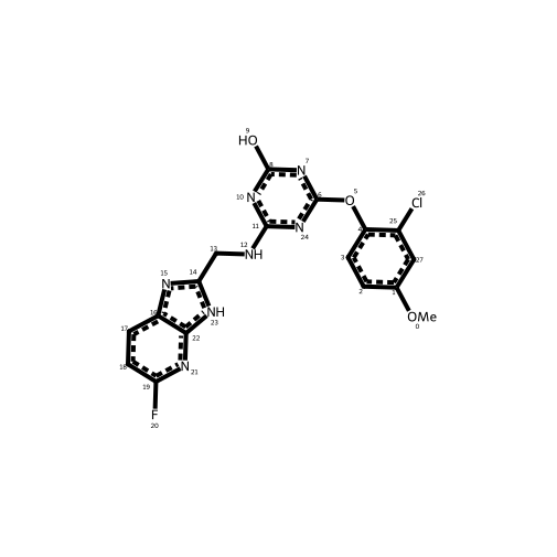 COc1ccc(Oc2nc(O)nc(NCc3nc4ccc(F)nc4[nH]3)n2)c(Cl)c1